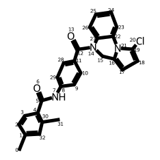 Cc1ccc(C(=O)Nc2ccc(C(=O)N3Cc4ccc(Cl)n4-c4ccccc43)cc2)c(C)c1